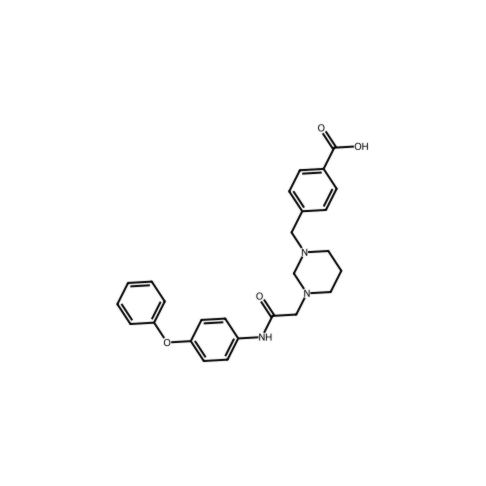 O=C(CN1CCCN(Cc2ccc(C(=O)O)cc2)C1)Nc1ccc(Oc2ccccc2)cc1